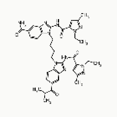 CCn1nc(C)cc1C(=O)Nc1nc2cc(C(N)=O)ccc2n1CCCCn1c(NC(=O)c2cc(C)nn2CC)nc2cc(C(=O)C(C)C)ccc21